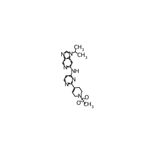 CC(C)n1cnc2cnc(Nc3ccnc(C4=CCN(S(C)(=O)=O)CC4)n3)cc21